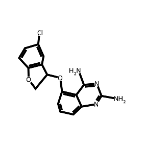 Nc1nc(N)c2c(OC3COc4ccc(Cl)cc43)cccc2n1